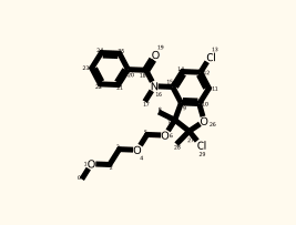 COCCOCOC1(C)c2c(cc(Cl)cc2N(C)C(=O)c2ccccc2)OC1(C)Cl